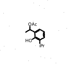 CC(=O)OC(C)c1cccc(C(C)C)c1O